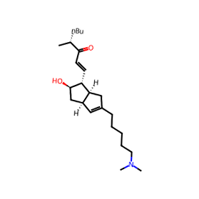 CCCC[C@@H](C)C(=O)/C=C/[C@@H]1[C@H]2CC(CCCCCN(C)C)=C[C@H]2C[C@H]1O